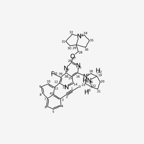 CC#Cc1cccc2cccc(-c3ncc4c(N5C[C@H]6CC[C@@H](C5)N6)nc(OCC56CCCN5CCC6)nc4c3F)c12